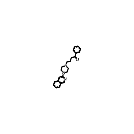 O=C(CCCN1CCN(c2cc3ccccc3cn2)CC1)c1ccccc1